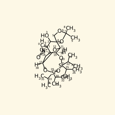 C=C1C(O)C2(COC(C)(C)O2)[C@@H]2O[C@H]3C[C@]1([N+](=O)[O-])[C@@H]2O[Si](C(C)C)(C(C)C)O[Si](C(C)C)(C(C)C)O3